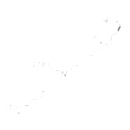 CCCCCC/C=C\COC(=O)CCCCCCCN(CCCN)CCCCCCCC(=O)O